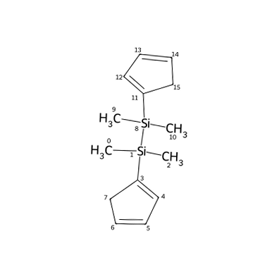 C[Si](C)(C1=CC=CC1)[Si](C)(C)C1=CC=CC1